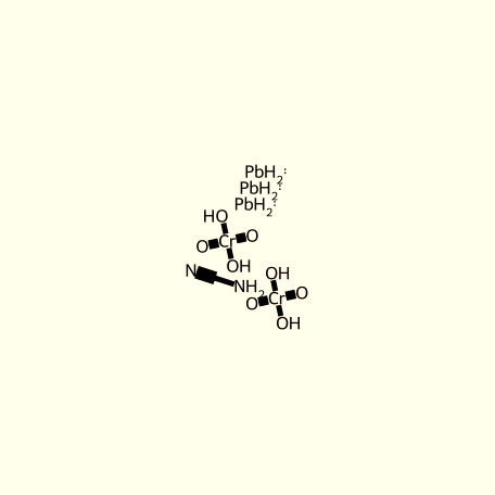 N#CN.[O]=[Cr](=[O])([OH])[OH].[O]=[Cr](=[O])([OH])[OH].[PbH2].[PbH2].[PbH2]